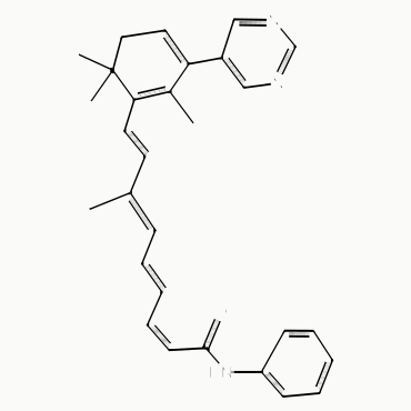 CC1=C(/C=C/C(C)=C/C=C/C=C\C(=O)Nc2ccccc2)C(C)(C)CC=C1c1cncnc1